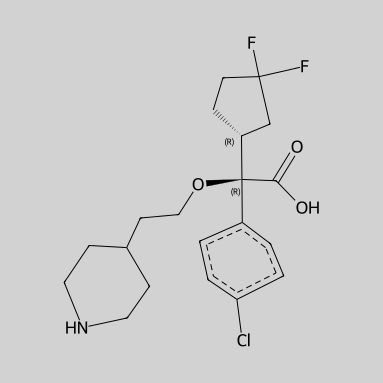 O=C(O)[C@](OCCC1CCNCC1)(c1ccc(Cl)cc1)[C@@H]1CCC(F)(F)C1